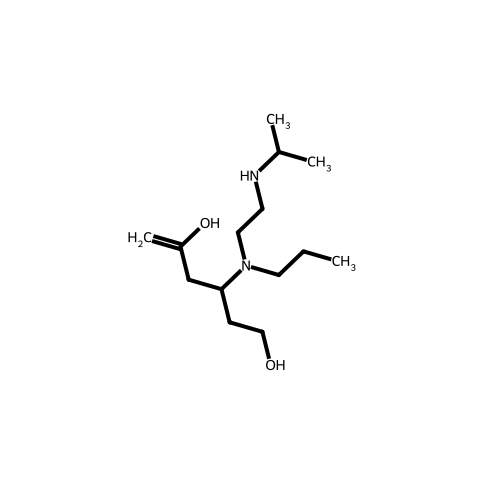 C=C(O)CC(CCO)N(CCC)CCNC(C)C